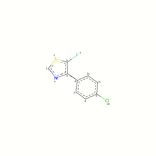 Fc1s[c]nc1-c1ccc(Cl)cc1